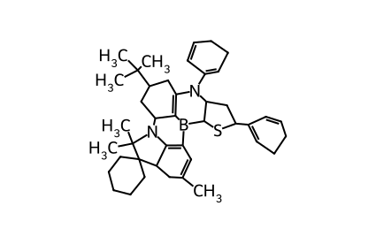 CC1=CC2=C3C(C1)C1(CCCCC1)C(C)(C)N3C1CC(C(C)(C)C)CC3=C1B2C1SC(C2=CCCC=C2)CC1N3C1=CCCC=C1